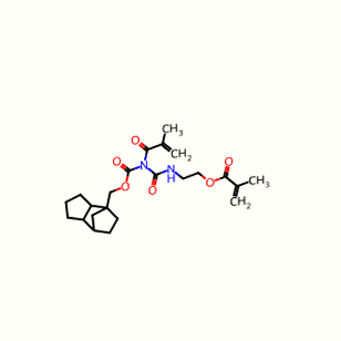 C=C(C)C(=O)OCCNC(=O)N(C(=O)OCC12CCC(C1)C1CCCC12)C(=O)C(=C)C